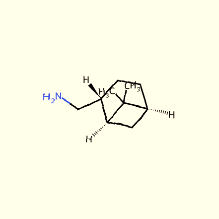 CC1(C)[C@H]2CC[C@@H](CN)[C@@H]1C2